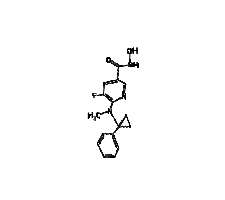 CN(c1ncc(C(=O)NO)cc1F)C1(c2ccccc2)CC1